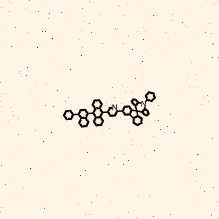 c1ccc(-c2ccc(-c3c4ccccc4c(-c4ccc(-c5ccc6c(c5)-c5ccccc5C65c6ccccc6N(c6ccccc6)c6ccccc65)nc4)c4ccccc34)c3ccccc23)cc1